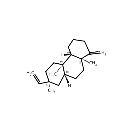 C=C[C@@]1(C)CC[C@]2(C)[C@H](CC[C@]3(C)C(=C)CCC[C@@H]23)C1